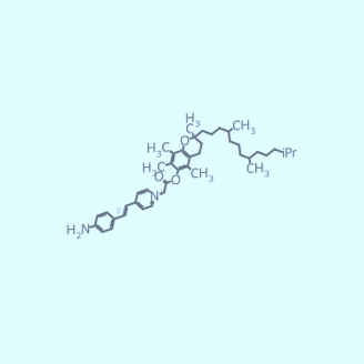 Cc1c(C)c2c(c(C)c1OC(=O)C[n+]1ccc(/C=C/c3ccc(N)cc3)cc1)CCC(C)(CCCC(C)CCCC(C)CCCC(C)C)O2